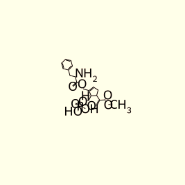 COC(=O)C1=COC(OP(=O)(O)O)[C@H]2C(COC(=O)C(N)Cc3ccccc3)=CCC12